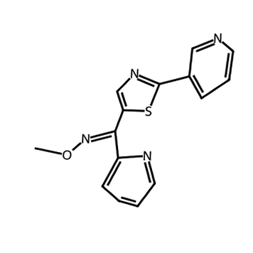 CO/N=C(\c1ccccn1)c1cnc(-c2cccnc2)s1